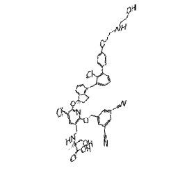 C[C@@](CO)(NCc1cc(Cl)c(O[C@H]2CCc3c(-c4cccc(-c5ccc(OCCNCCO)cc5)c4Cl)cccc32)nc1OCc1cc(C#N)cc(C#N)c1)C(=O)O